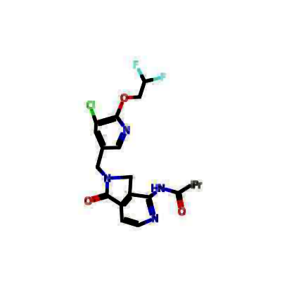 CC(C)C(=O)Nc1nccc2c1CN(Cc1cnc(OCC(F)F)c(Cl)c1)C2=O